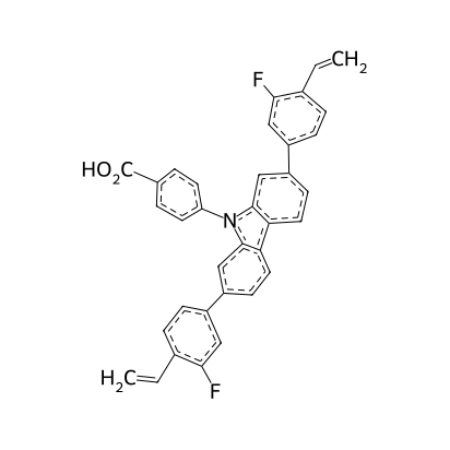 C=Cc1ccc(-c2ccc3c4ccc(-c5ccc(C=C)c(F)c5)cc4n(-c4ccc(C(=O)O)cc4)c3c2)cc1F